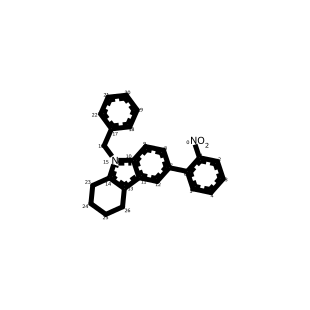 O=[N+]([O-])c1ccccc1-c1ccc2c(c1)c1c(n2Cc2ccccc2)CCCC1